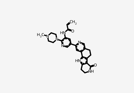 C=CC(=O)Nc1cc(-c2cc3c(cn2)CCc2c-3[nH]c3c2C(=O)NCC3)cnc1N1CCN(C)CC1